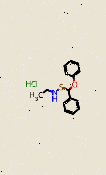 CCNSC(Oc1ccccc1)c1ccccc1.Cl